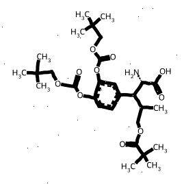 CC(COC(=O)C(C)(C)C)C(c1ccc(OC(=O)OCC(C)(C)C)c(OC(=O)OCC(C)(C)C)c1)[C@H](N)C(=O)O